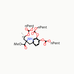 CCCCCOC(=O)Oc1ccc(CC(N)(C[C@H](C)OC(=O)OCCCCC)C(=O)OC)cc1OC(=O)OCCCCC